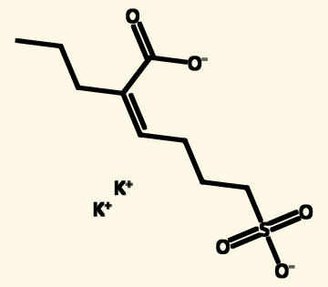 CCCC(=CCCCS(=O)(=O)[O-])C(=O)[O-].[K+].[K+]